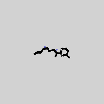 C=C=C/C=C\C/C=C(\C)c1nccc(C)n1